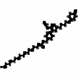 COCCOCCOCCOCCOCCOC(=O)OC[n+]1ccc(N(CCCCCCOc2ccc(Cl)cc2)C(N)=NC#N)cc1